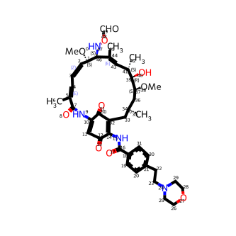 CO[C@H]1/C=C\C=C(/C)C(=O)NC2=CC(=O)C(NC(=O)c3ccc(CCN4CCOCC4)cc3)=C(C[C@@H](C)C[C@H](OC)[C@H](O)[C@@H](C)/C=C(\C)[C@@H]1NOC=O)C2=O